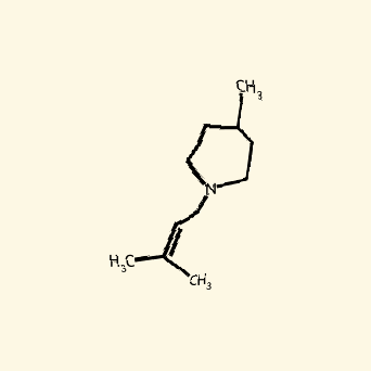 CC(C)=CCN1CCC(C)CC1